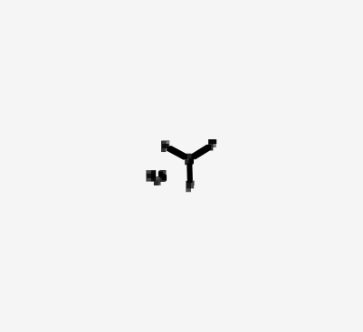 FB(F)F.S